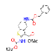 COC(=O)c1c(NC(=O)OC(C)(C)C)sc2c1C[C@@H](NC(=O)OCc1ccccc1)CC2